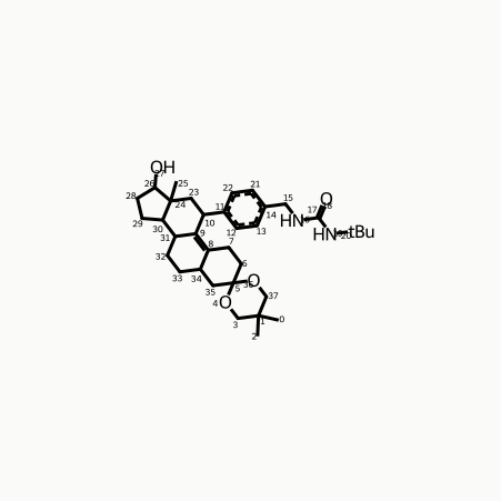 CC1(C)COC2(CCC3=C4C(c5ccc(CNC(=O)NC(C)(C)C)cc5)CC5(C)C(O)CCC5C4CCC3C2)OC1